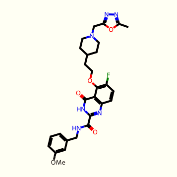 COc1cccc(CNC(=O)c2nc3ccc(F)c(OCCC4CCN(Cc5nnc(C)o5)CC4)c3c(=O)[nH]2)c1